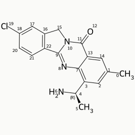 Cc1cc([C@@H](C)N)c2nc3n(c(=O)c2c1)Cc1cc(Cl)ccc1-3